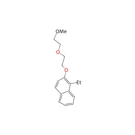 CCc1c(OCCOCCOC)ccc2ccccc12